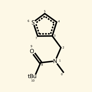 CN(Cc1ccsc1)C(=O)C(C)(C)C